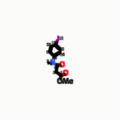 COC(=O)CC(=O)N(C)c1ccc(I)cc1